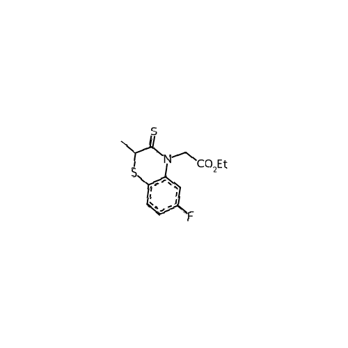 CCOC(=O)CN1C(=S)C(C)Sc2ccc(F)cc21